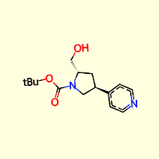 CC(C)(C)OC(=O)N1C[C@H](c2ccncc2)C[C@H]1CO